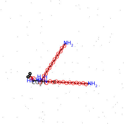 NCCOCCOCCOCCOCCOCCOCCOCCOCCOCCOCCOCCOCCC(=O)NCCC[C@H](NC(=O)CCOCCOCCOCCOCCOCCOCCOCCOCCOCCOCCOCCOCCN)C(=O)NCCCC[C@H](NC(=O)OCC1c2ccccc2-c2ccccc21)C(=O)O